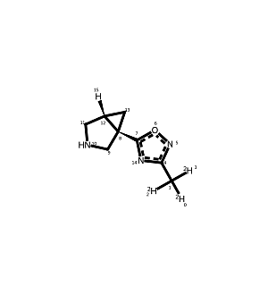 [2H]C([2H])([2H])c1noc([C@@]23CNC[C@@H]2C3)n1